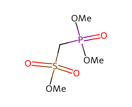 COP(=O)(CS(=O)(=O)OC)OC